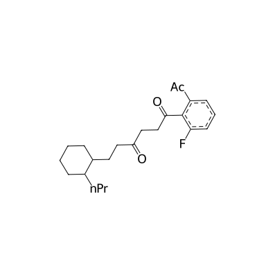 CCCC1CCCCC1CCC(=O)CCC(=O)c1c(F)cccc1C(C)=O